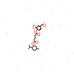 COc1cc(C=O)ccc1OC(=O)CCCC(=O)OC1CC(C)CCC1C(C)C